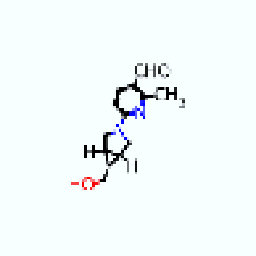 Cc1nc(N2C[C@@H]3[C@@H](CO)[C@@H]3C2)ccc1C=O